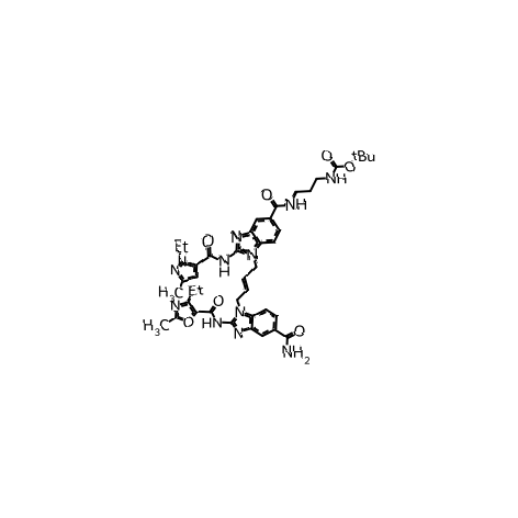 CCc1nc(C)oc1C(=O)Nc1nc2cc(C(N)=O)ccc2n1C/C=C/Cn1c(NC(=O)c2cc(C)nn2CC)nc2cc(C(=O)NCCCNC(=O)OC(C)(C)C)ccc21